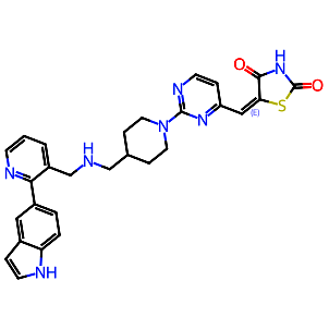 O=C1NC(=O)/C(=C\c2ccnc(N3CCC(CNCc4cccnc4-c4ccc5[nH]ccc5c4)CC3)n2)S1